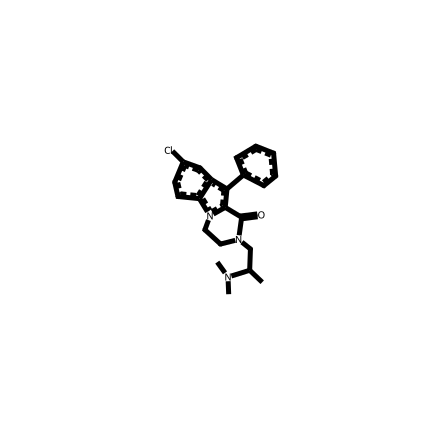 CC(CN1CCn2c(c(-c3ccccc3)c3cc(Cl)ccc32)C1=O)N(C)C